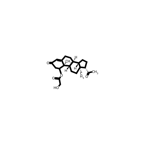 CC(=O)[C@H]1CC[C@H]2[C@@H]3CCC4=CC(=O)CC(OC(=O)CO)[C@]4(C)[C@H]3CC[C@]12C